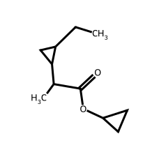 CCC1CC1C(C)C(=O)OC1CC1